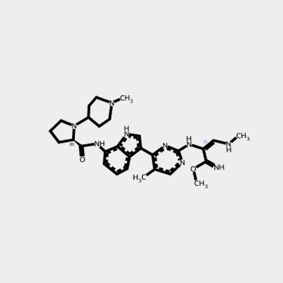 CN/C=C(/Nc1ncc(C)c(-c2c[nH]c3c(NC(=O)[C@H]4CCCN4C4CCN(C)CC4)cccc23)n1)C(=N)OC